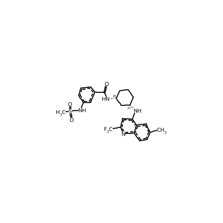 Cc1ccc2nc(C(F)(F)F)cc(N[C@H]3CCC[C@@H](NC(=O)c4cccc(NS(C)(=O)=O)c4)C3)c2c1